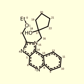 CCOCc1nc2cnc3ccccc3c2n1CC1(O)CCCC1